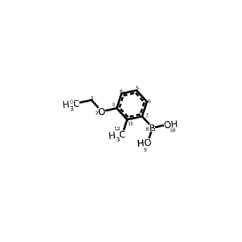 CCOc1cccc(B(O)O)c1C